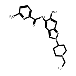 COc1cc2nn(C3CCN(CC(F)(F)F)CC3)cc2cc1NC(=O)c1cccc(C(F)(F)F)n1